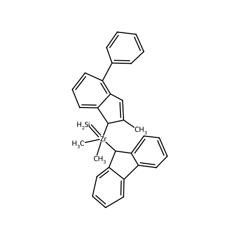 CC1=Cc2c(-c3ccccc3)cccc2[CH]1[Zr]([CH3])([CH3])(=[SiH2])[CH]1c2ccccc2-c2ccccc21